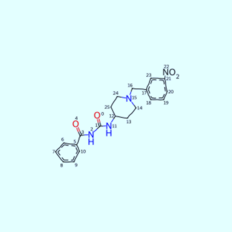 O=C(NC(=O)c1ccccc1)NC1CCN(Cc2cccc([N+](=O)[O-])c2)CC1